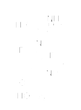 CC1(CN)CN(c2c(F)cc3c(=O)c(C(=O)O)cn(C4CC4)c3c2F)CC1=O